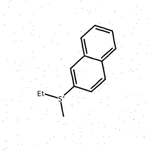 CC[S+](C)c1ccc2ccccc2c1